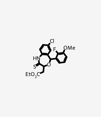 CCOC(=O)CC1OC(c2cccc(OC)c2F)c2cc(Cl)ccc2NC1=S